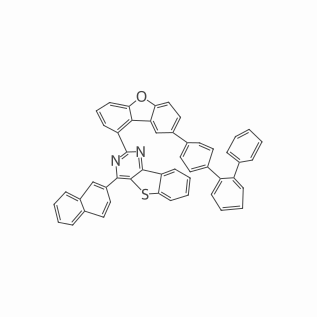 c1ccc(-c2ccccc2-c2ccc(-c3ccc4oc5cccc(-c6nc(-c7ccc8ccccc8c7)c7sc8ccccc8c7n6)c5c4c3)cc2)cc1